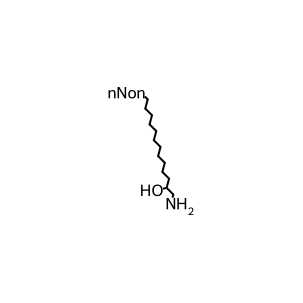 CCCCCCCCCCCCCCCCCCCCC(O)CN